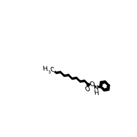 CCCCCCCCCC(=O)ONc1ccccc1